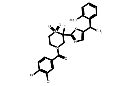 COc1ccccc1C(C)c1cnc(C2(F)CN(C(=O)c3ccc(Br)c(Cl)c3)CCS2(=O)=O)s1